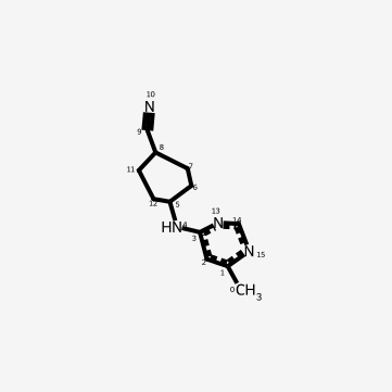 Cc1cc(NC2CCC(C#N)CC2)ncn1